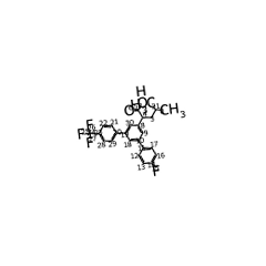 CC(C)CC(C(=O)O)c1cc(-c2ccc(F)cc2)cc(-c2ccc(C(F)(F)F)cc2)c1